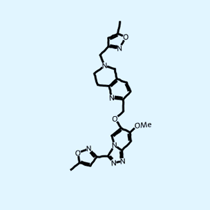 COc1cc2nnc(-c3cc(C)on3)n2cc1OCc1ccc2c(n1)CCN(Cc1cc(C)on1)C2